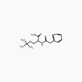 CC(C)(C)OCC(NC(=O)Cc1ccccc1)C(N)=O